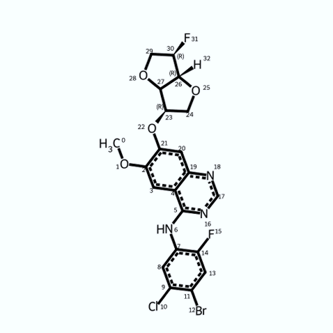 COc1cc2c(Nc3cc(Cl)c(Br)cc3F)ncnc2cc1O[C@@H]1CO[C@@H]2C1OC[C@H]2F